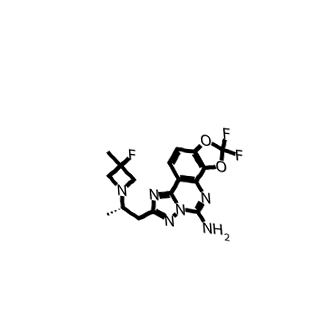 C[C@@H](Cc1nc2c3ccc4c(c3nc(N)n2n1)OC(F)(F)O4)N1CC(C)(F)C1